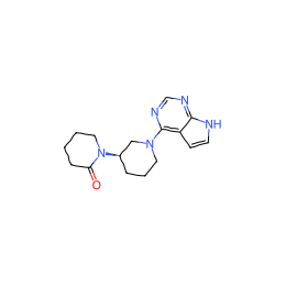 O=C1CCCCN1[C@@H]1CCCN(c2ncnc3[nH]ccc23)C1